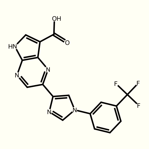 O=C(O)c1c[nH]c2ncc(-c3cn(-c4cccc(C(F)(F)F)c4)cn3)nc12